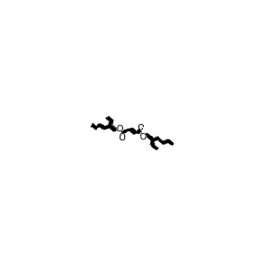 CCCC/C(=C/OC(=O)/C=C/C(=O)O/C=C(\CC)CCCC)CC